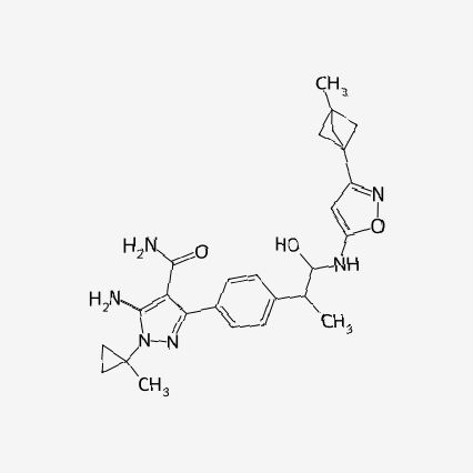 CC(c1ccc(-c2nn(C3(C)CC3)c(N)c2C(N)=O)cc1)C(O)Nc1cc(C23CC(C)(C2)C3)no1